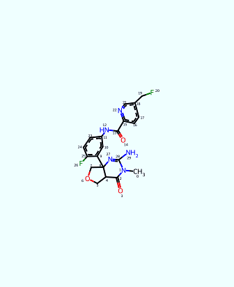 CN1C(=O)C2COCC2(c2cc(NC(=O)c3ccc(CF)cn3)ccc2F)N=C1N